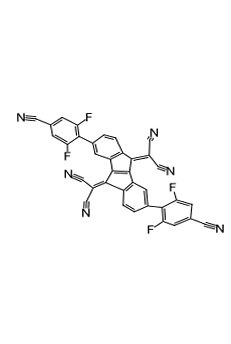 N#CC(C#N)=C1C2=C(C(=C(C#N)C#N)c3ccc(-c4c(F)cc(C#N)cc4F)cc32)c2cc(-c3c(F)cc(C#N)cc3F)ccc21